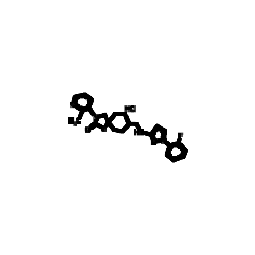 Cc1ncccc1N1CC2(CCC(CNc3ccn(-c4ccccc4F)n3)CC2)OC1=O.Cl